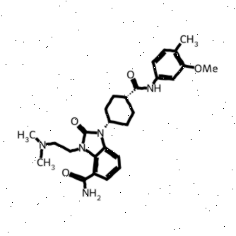 COc1cc(NC(=O)[C@H]2CC[C@@H](n3c(=O)n(CCN(C)C)c4c(C(N)=O)cccc43)CC2)ccc1C